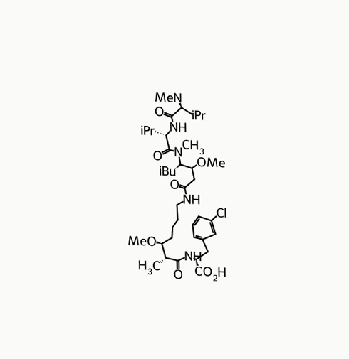 CC[C@H](C)C(C(CC(=O)NCCCC[C@H](OC)[C@@H](C)C(=O)N[C@@H](Cc1cccc(Cl)c1)C(=O)O)OC)N(C)C(=O)[C@@H](NC(=O)[C@@H](NC)C(C)C)C(C)C